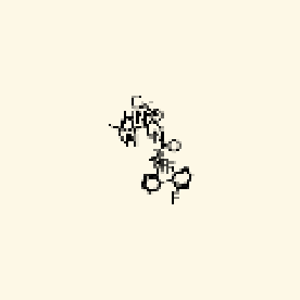 Cc1nnc([C@]2(NS(C)(=O)=O)CCN(C(=O)[C@@H]3C[C@@]3(F)c3ccccc3-c3c(F)cccc3F)C2)o1